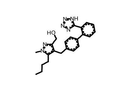 CCCCc1c(Cc2ccc(-c3ccccc3-c3nnn[nH]3)cc2)c(CO)nn1C